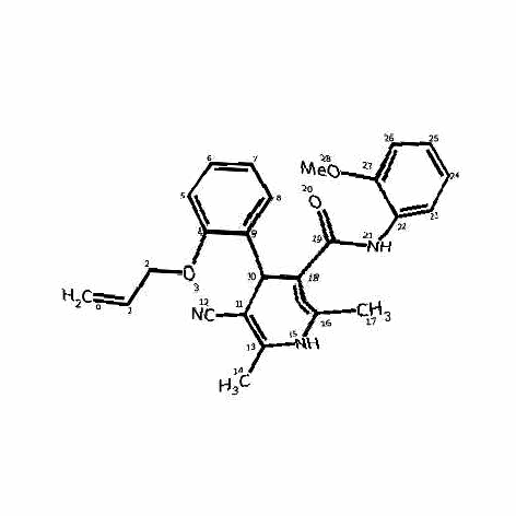 C=CCOc1ccccc1C1C(C#N)=C(C)NC(C)=C1C(=O)Nc1ccccc1OC